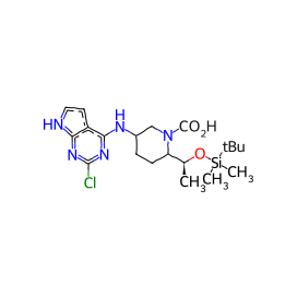 C[C@H](O[Si](C)(C)C(C)(C)C)C1CCC(Nc2nc(Cl)nc3[nH]ccc23)CN1C(=O)O